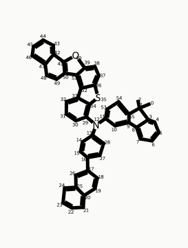 CC1(C)c2ccccc2-c2cc(N(c3ccc(-c4ccc5ccccc5c4)cc3)c3cccc4c3sc3ccc5oc6c7ccccc7ccc6c5c34)ccc21